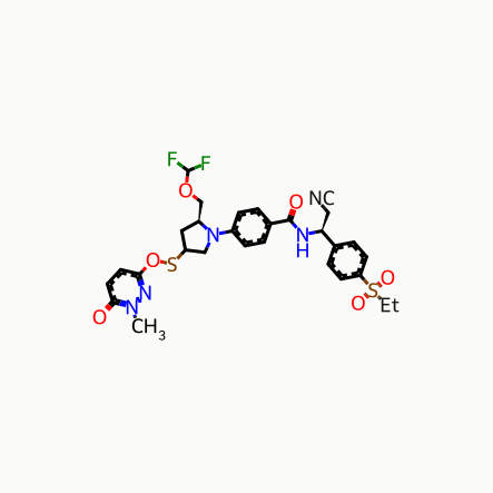 CCS(=O)(=O)c1ccc([C@H](CC#N)NC(=O)c2ccc(N3CC(SOc4ccc(=O)n(C)n4)C[C@H]3COC(F)F)cc2)cc1